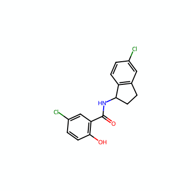 O=C(NC1CCc2cc(Cl)ccc21)c1cc(Cl)ccc1O